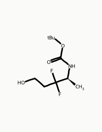 C[C@H](NC(=O)OC(C)(C)C)C(F)(F)CCO